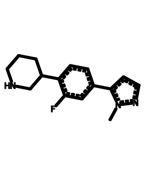 Cn1nccc1-c1ccc(C2CCCNC2)c(F)c1